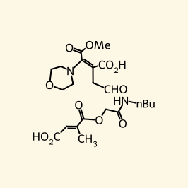 CCCCNC(=O)COC(=O)/C(C)=C/C(=O)O.COC(=O)C(=C(CC=O)C(=O)O)N1CCOCC1